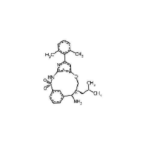 Cc1cccc(C)c1-c1cc2nc(n1)NS(=O)(=O)c1cccc(c1)C(N)[C@H](CC(C)C)CO2